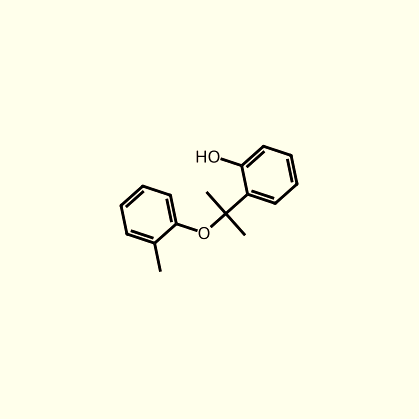 Cc1ccccc1OC(C)(C)c1ccccc1O